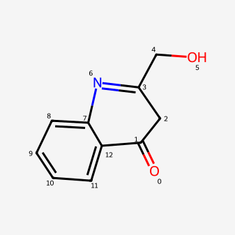 O=C1CC(CO)=Nc2ccccc21